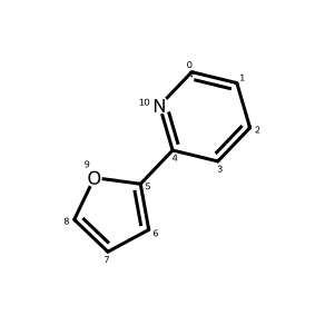 [c]1cccc(-c2ccco2)n1